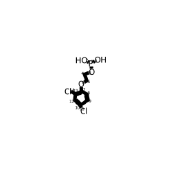 OP(O)OCCOc1ccc(Cl)cc1Cl